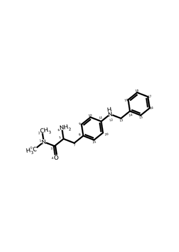 CN(C)C(=O)C(N)Cc1ccc(NCc2ccccc2)cc1